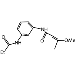 CCC(=O)Nc1cccc(NC(=O)C=C(C)OC)c1